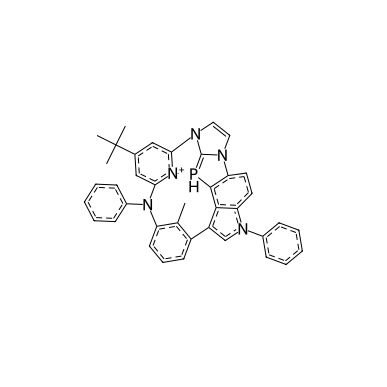 Cc1c2cccc1N(c1ccccc1)c1cc(C(C)(C)C)cc3[n+]1[PH]1=C4N(C=CN43)c3ccc4c(c-2cn4-c2ccccc2)c31